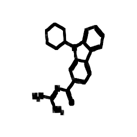 NC(N)=NC(=O)c1ccc2c3ccccc3n(C3CCCCC3)c2c1